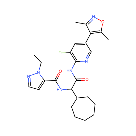 CCn1nccc1C(=O)NC(C(=O)Nc1ncc(-c2c(C)noc2C)cc1F)C1CCCCCC1